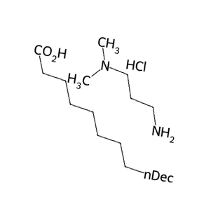 CCCCCCCCCCCCCCCCCC(=O)O.CN(C)CCCN.Cl